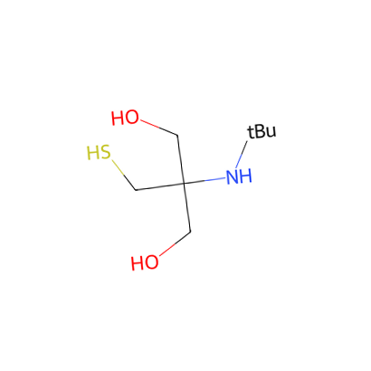 CC(C)(C)NC(CO)(CO)CS